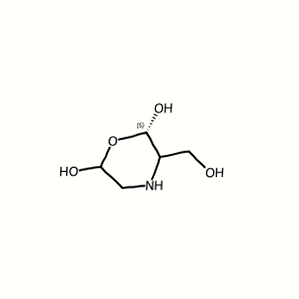 OCC1NCC(O)O[C@@H]1O